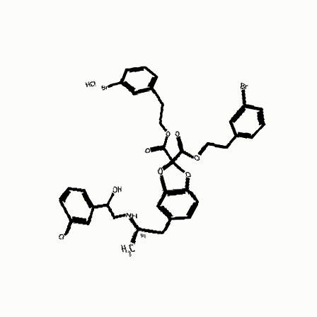 C[C@H](Cc1ccc2c(c1)OC(C(=O)OCCc1cccc(Br)c1)(C(=O)OCCc1cccc(Br)c1)O2)NCC(O)c1cccc(Cl)c1.Cl